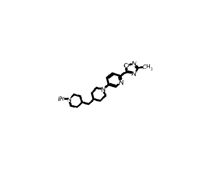 Cc1noc(-c2ccc(N3CCC(CC4CCN(C(C)C)CC4)CC3)cn2)n1